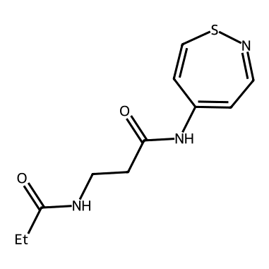 CCC(=O)NCCC(=O)NC1=CC=NSC=C1